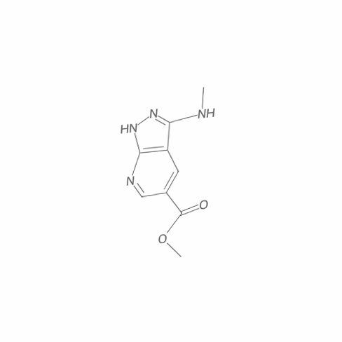 CNc1n[nH]c2ncc(C(=O)OC)cc12